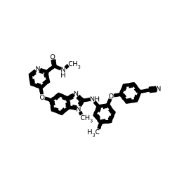 CNC(=O)c1cc(Oc2ccc3c(c2)nc(Nc2cc(C)ccc2Oc2ccc(C#N)cc2)n3C)ccn1